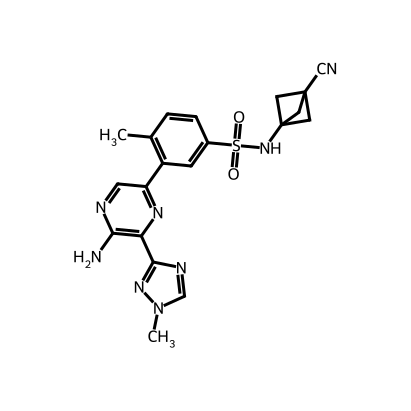 Cc1ccc(S(=O)(=O)NC23CC(C#N)(C2)C3)cc1-c1cnc(N)c(-c2ncn(C)n2)n1